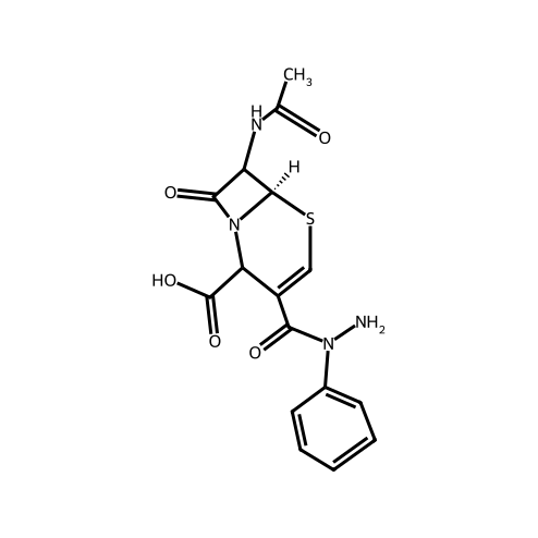 CC(=O)NC1C(=O)N2C(C(=O)O)C(C(=O)N(N)c3ccccc3)=CS[C@H]12